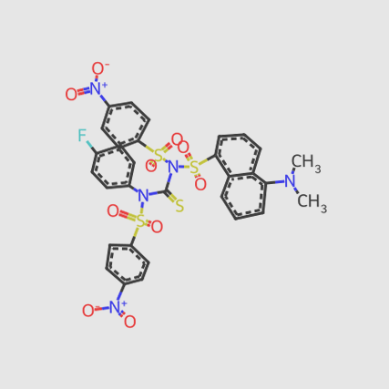 CN(C)c1cccc2c(S(=O)(=O)N(C(=S)N(c3ccc(F)cc3)S(=O)(=O)c3ccc([N+](=O)[O-])cc3)S(=O)(=O)c3ccc([N+](=O)[O-])cc3)cccc12